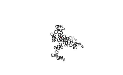 C=C[Si](C=C)(CC)c1ccc(C(=O)OOC(=O)OCC(COC(=O)OOC(=O)c2ccc([Si](C=C)(C=C)CC)cc2)(COC(=O)OOC(=O)c2ccc([Si](C=C)(C=C)CC)cc2)COC(=O)OOC(=O)c2ccc([Si](C=C)(C=C)CC)cc2)cc1